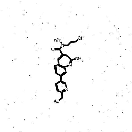 CCCN(CCCO)C(=O)C1=Cc2ccc(-c3ccc(CC(C)=O)nc3)cc2N=C(N)C1